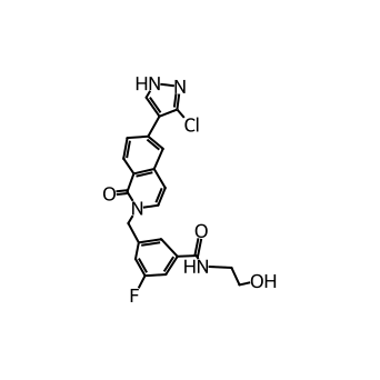 O=C(NCCO)c1cc(F)cc(Cn2ccc3cc(-c4c[nH]nc4Cl)ccc3c2=O)c1